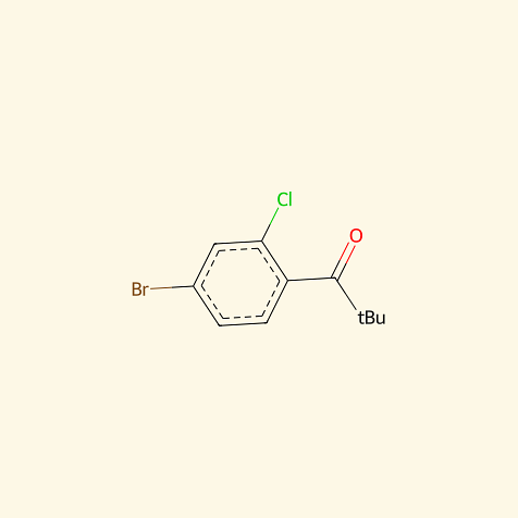 CC(C)(C)C(=O)c1ccc(Br)cc1Cl